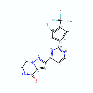 O=C1NCCn2nc(-c3ccnc(-c4ccc(C(F)(F)F)c(F)c4)n3)cc21